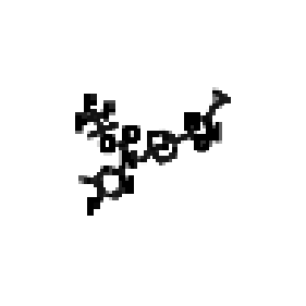 Cc1cc(N(CC23CCC(c4nc(C5CC5)no4)=C(C2)C3)C(=O)OC(C)(C)C(F)(F)F)ncc1F